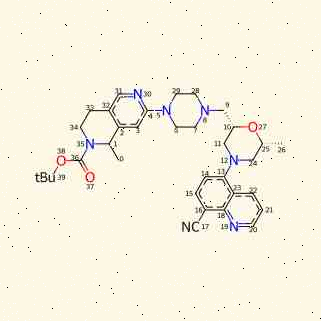 CC1c2cc(N3CCN(C[C@H]4CN(c5ccc(C#N)c6ncccc56)C[C@@H](C)O4)CC3)ncc2CCN1C(=O)OC(C)(C)C